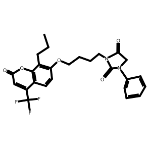 CCCc1c(OCCCCN2C(=O)CN(c3ccccc3)C2=O)ccc2c(C(F)(F)F)cc(=O)oc12